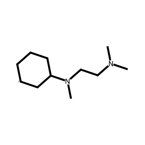 CN(C)CCN(C)C1C[CH]CCC1